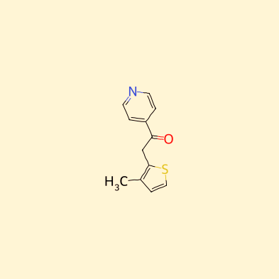 Cc1ccsc1CC(=O)c1ccncc1